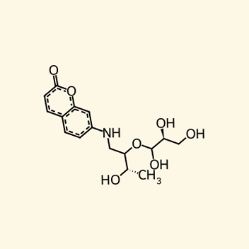 C[C@H](O)C(CNc1ccc2ccc(=O)oc2c1)OC(O)[C@@H](O)CO